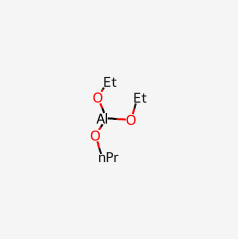 CCC[O][Al]([O]CC)[O]CC